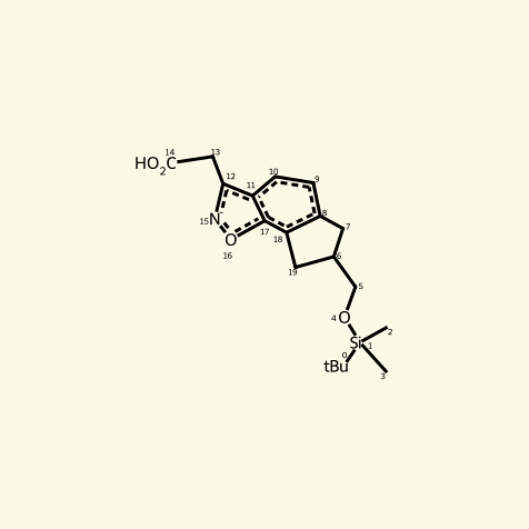 CC(C)(C)[Si](C)(C)OCC1Cc2ccc3c(CC(=O)O)noc3c2C1